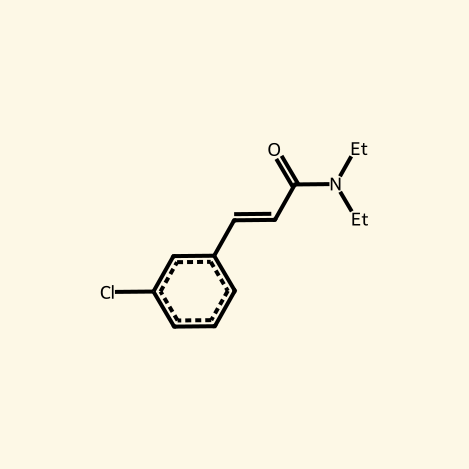 CCN(CC)C(=O)C=Cc1cccc(Cl)c1